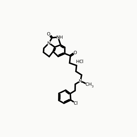 CN(CCCCC(=O)c1cc2c3c(c1)[nH]c(=O)n3CCC2)CCc1ccccc1Cl.Cl